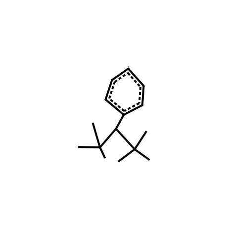 CC(C)(C)C(c1cc[c]cc1)C(C)(C)C